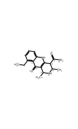 CCc1cccc2[nH]c3c(c(=O)c12)C(C)NC(C)C3C(N)=O